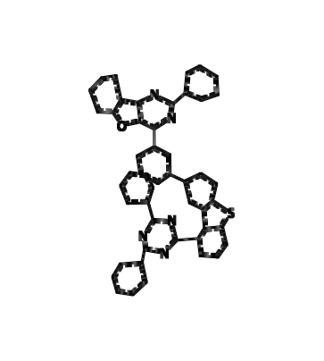 c1ccc(-c2nc(-c3ccccc3)nc(-c3cccc4sc5ccc(-c6cccc(-c7nc(-c8ccccc8)nc8c7oc7ccccc78)c6)cc5c34)n2)cc1